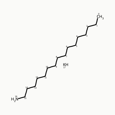 CCCCCCCCCCCCCCCCN.[KH]